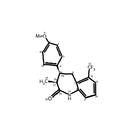 COc1ccc([C@H]2Cc3c(cccc3C(F)(F)F)NC(=O)[C@H]2C)cc1